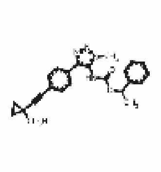 C[C@@H](OC(=O)Nc1c(-c2ccc(C#CC3(C(=O)O)CC3)cc2)nnn1C)c1ccccc1